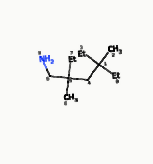 CCC(C)(CC)CC(C)(CC)CN